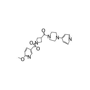 COc1ccc(S(=O)(=O)N2CC(C(=O)N3CCN(c4ccncc4)CC3)C2)cn1